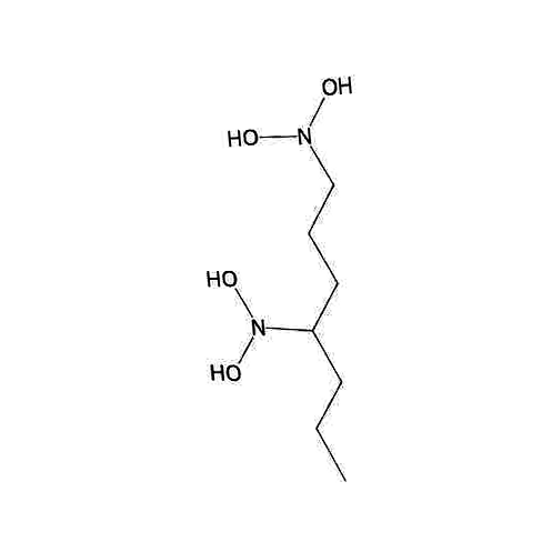 CCCC(CCCN(O)O)N(O)O